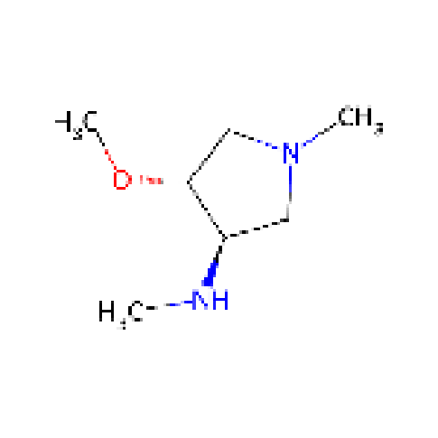 CN[C@@H]1CN(C)C[C@H]1OC